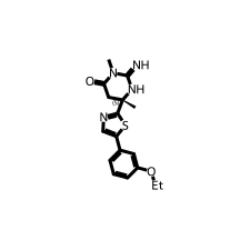 CCOc1cccc(-c2cnc([C@]3(C)CC(=O)N(C)C(=N)N3)s2)c1